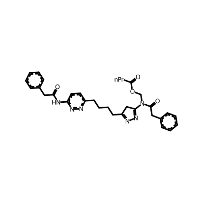 CCCC(=O)OCN(C(=O)Cc1ccccc1)C1=NN=C(CCCCc2ccc(NC(=O)Cc3ccccc3)nn2)C1